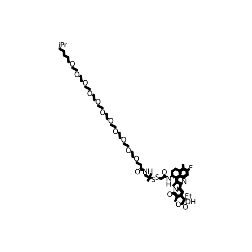 CC[C@@]1(O)C(=O)OCc2c1cc1n(c2=O)Cc2c-1nc1cc(F)c(C)c3c1c2[C@@H](NC(=O)CSSC(C)(C)CNC(=O)CCOCCOCCOCCOCCOCCOCCOCCOCCOCCOCCOCCCCCC(C)C)CC3